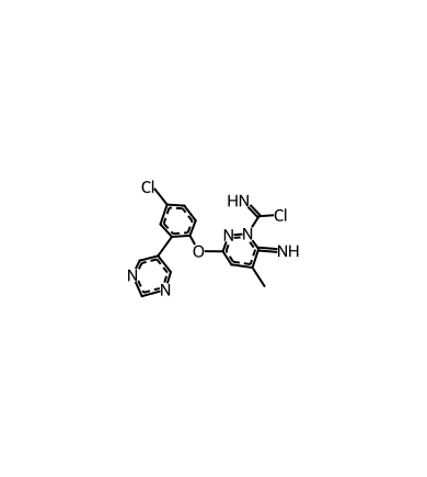 Cc1cc(Oc2ccc(Cl)cc2-c2cncnc2)nn(C(=N)Cl)c1=N